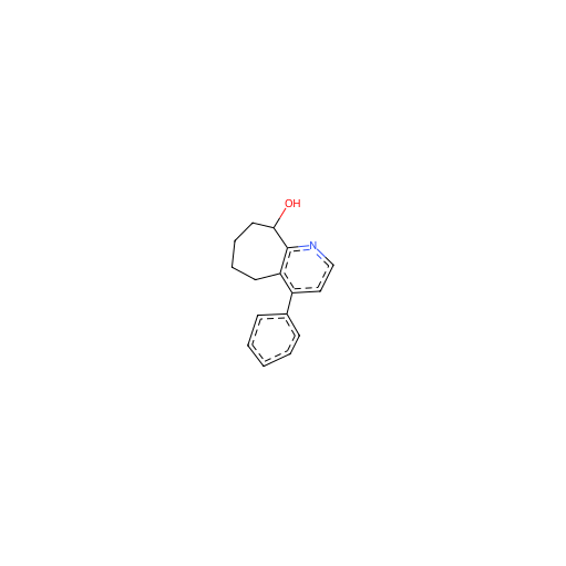 OC1CCCCc2c(-c3ccccc3)ccnc21